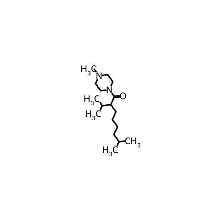 CC(C)CCCCC(C(=O)N1CCN(C)CC1)C(C)C